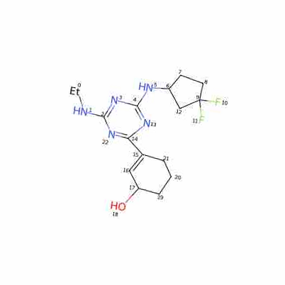 CCNc1nc(NC2CCC(F)(F)C2)nc(C2=CC(O)CCC2)n1